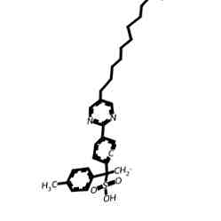 [CH2]C(c1ccc(C)cc1)(c1ccc(-c2ncc(CCCCCCCCCC)cn2)cc1)S(=O)(=O)O